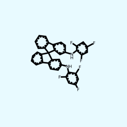 Fc1cc(F)c(Nc2ccc3c(c2)C2(c4ccccc4-3)c3ccccc3-c3ccc(Nc4c(F)cc(F)cc4F)cc32)c(F)c1